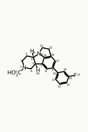 O=C(O)N1CC[C@H]2[C@@H](C1)c1cc(-c3cccc(F)c3)cc3c1N2CC3